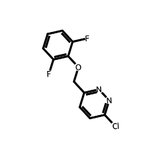 Fc1cccc(F)c1OCc1ccc(Cl)nn1